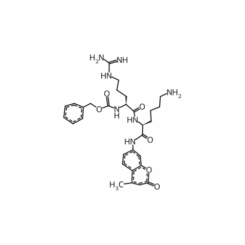 Cc1cc(=O)oc2cc(NC(=O)[C@H](CCCCN)NC(=O)[C@H](CCCNC(=N)N)NC(=O)OCc3ccccc3)ccc12